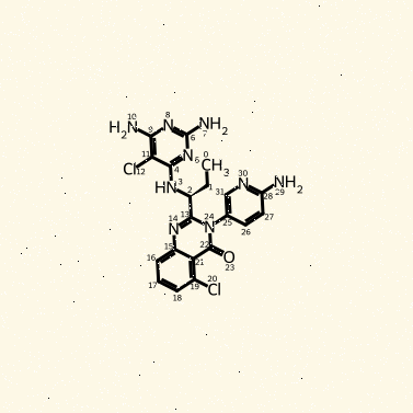 CC[C@H](Nc1nc(N)nc(N)c1Cl)c1nc2cccc(Cl)c2c(=O)n1-c1ccc(N)nc1